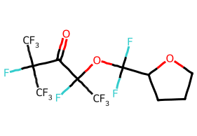 O=C(C(F)(OC(F)(F)C1CCCO1)C(F)(F)F)C(F)(C(F)(F)F)C(F)(F)F